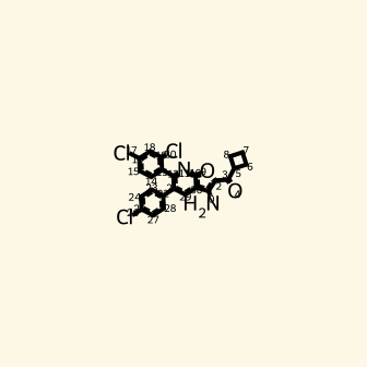 Nc1c(C(=O)C2CCC2)oc2nc(-c3ccc(Cl)cc3Cl)c(-c3ccc(Cl)cc3)cc12